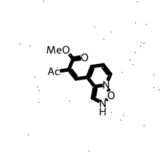 COC(=O)C(=CC1=CC=CN2ONC=C12)C(C)=O